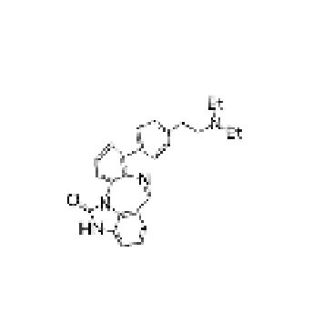 CCN(CC)CCc1ccc(-c2cccc3c2N=Cc2cccc4[nH]c(=O)n-3c24)cc1